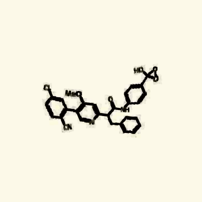 COc1cc(C(Cc2ccccc2)C(=O)Nc2ccc(C3(O)OO3)cc2)ncc1-c1cc(Cl)ccc1C#N